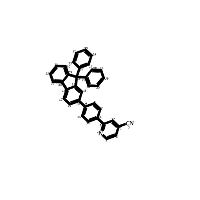 N#Cc1ccnc(-c2ccc(-c3ccc4c(c3)C(c3ccccc3)(c3ccccc3)c3ccccc3-4)cc2)c1